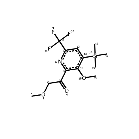 COCC(=O)c1nc(C(F)(F)F)cc([Si](C)(C)C)c1OC